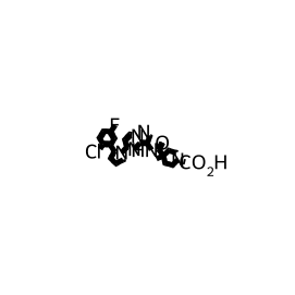 CC1(C(=O)Nc2cnn3ccc(N4CCCC4c4cc(F)ccc4Cl)nc23)CCN(C(=O)O)CC1